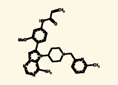 C=CC(=O)Nc1ccc(-c2cc3ncnc(N)c3n2C2CCN(Cc3cccc(C)n3)CC2)c(OC)c1